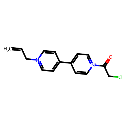 C=CC[n+]1ccc(-c2cc[n+](C(=O)CCl)cc2)cc1